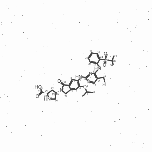 CC(C)Oc1cc2c(cc1Nc1ncc(CI)c(Nc3ccccc3S(=O)(=O)C(C)C)n1)C(=O)N([C@@H]1CN[C@H](C(=O)O)C1)C2